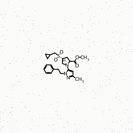 COC(=O)C1C[C@@H](S(=O)(=O)CC2CC2)CN1c1cc(C)nn1CCc1ccccc1